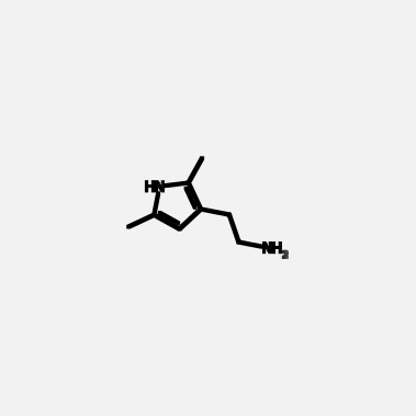 Cc1cc(CCN)c(C)[nH]1